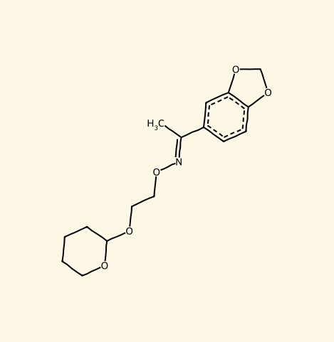 CC(=NOCCOC1CCCCO1)c1ccc2c(c1)OCO2